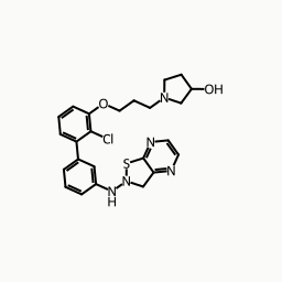 OC1CCN(CCCOc2cccc(-c3cccc(NN4Cc5nccnc5S4)c3)c2Cl)C1